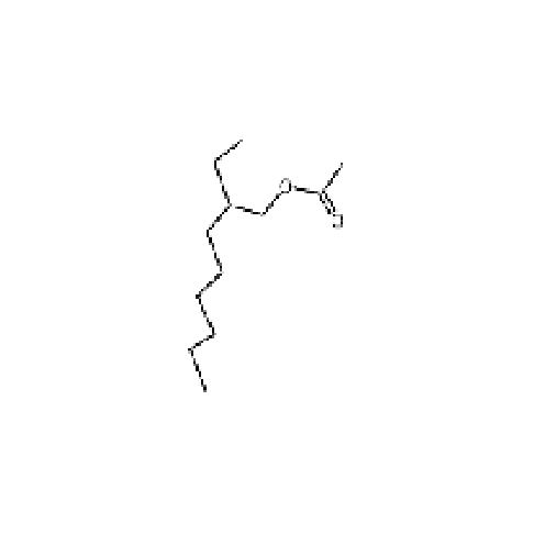 CCCCCCC(CC)COC(C)=O